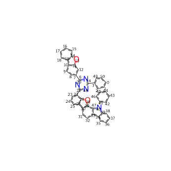 c1ccc(-c2nc(-c3ccc4c(c3)oc3ccccc34)nc(-c3cccc4c3oc3c4ccc4c5ccccc5n(-c5ccccc5)c43)n2)cc1